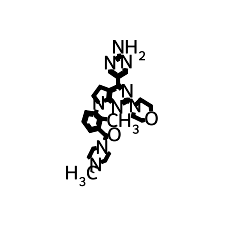 Cc1c(C(=O)N2CCN(C)CC2)cccc1N1CCc2c(-c3cnc(N)nc3)nc(N3CCOCC3)nc21